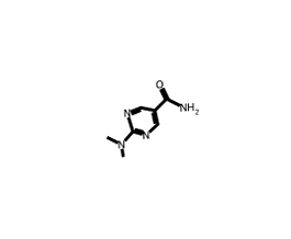 CN(C)c1ncc(C(N)=O)cn1